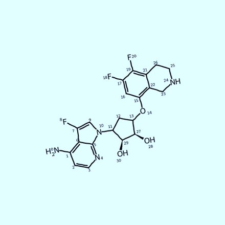 Nc1ccnc2c1c(F)cn2C1CC(Oc2cc(F)c(F)c3c2CNCC3)[C@@H](O)[C@H]1O